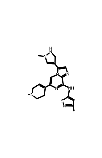 Cc1cc(Nc2nc(C3=CCNCC3)cn3c(C4=CN(C)NC4)cnc23)sn1